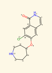 O=c1[nH]ccc2cc(OC3CCCNCC3)c(Cl)cc12